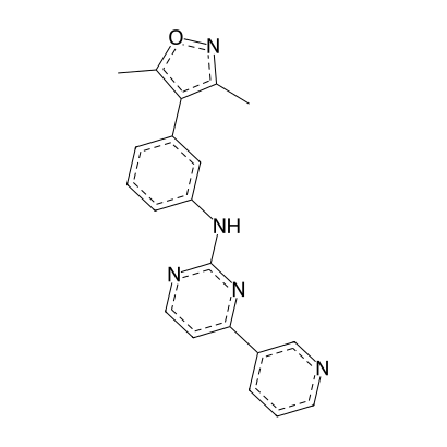 Cc1noc(C)c1-c1cccc(Nc2nccc(-c3cccnc3)n2)c1